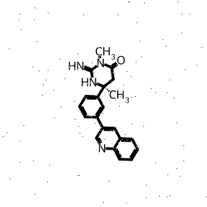 CN1C(=N)N[C@](C)(c2cccc(-c3cnc4ccccc4c3)c2)CC1=O